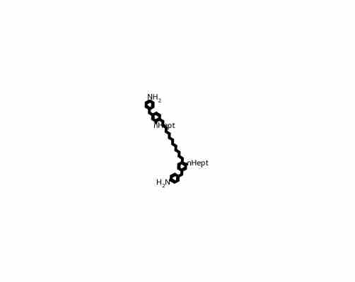 CCCCCCCc1cc(Cc2ccc(N)cc2)ccc1CCCCCCCCCCCCCc1ccc(Cc2ccc(N)cc2)cc1CCCCCCC